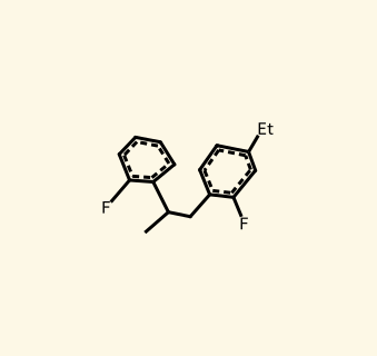 CCc1ccc(CC(C)c2ccccc2F)c(F)c1